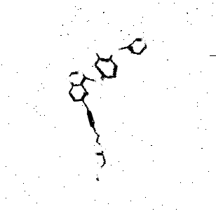 CSCC(=O)NCCC#Cc1ccc2ncnc(Nc3ccc(Oc4cccnc4)c(Cl)c3)c2c1